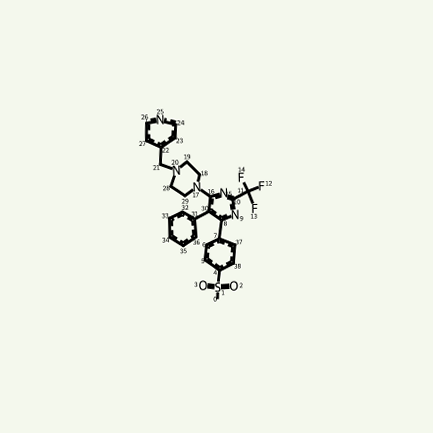 CS(=O)(=O)c1ccc(-c2nc(C(F)(F)F)nc(N3CCN(Cc4ccncc4)CC3)c2-c2ccccc2)cc1